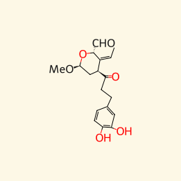 C/C=C1/[C@@H](C(=O)CCc2ccc(O)c(O)c2)C[C@@H](OC)O[C@@H]1C=O